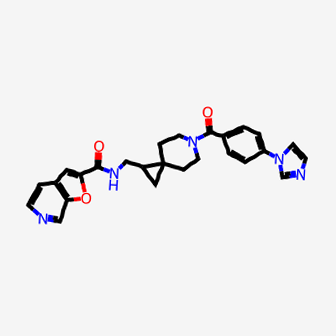 O=C(NCC1CC12CCN(C(=O)c1ccc(-n3ccnc3)cc1)CC2)c1cc2ccncc2o1